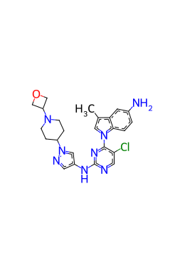 Cc1cn(-c2nc(Nc3cnn(C4CCN(C5COC5)CC4)c3)ncc2Cl)c2ccc(N)cc12